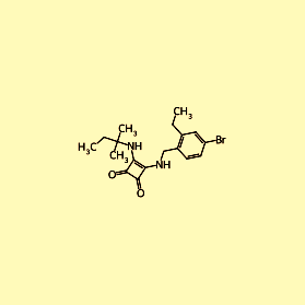 CCc1cc(Br)ccc1CNc1c(NC(C)(C)CC)c(=O)c1=O